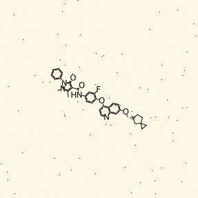 Cc1c(C(=O)Nc2ccc(Oc3ccnc4cc(OC[C@@H]5CCC6(CC6)C5)ccc34)c(F)c2)c(=O)n(-c2ccccc2)n1C